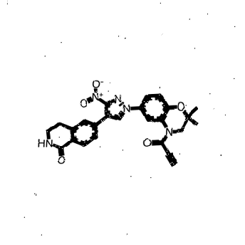 C#CC(=O)N1CC(C)(C)Oc2ccc(-n3cc(-c4ccc5c(c4)CCNC5=O)c([N+](=O)[O-])n3)cc21